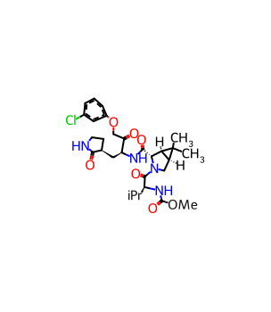 COC(=O)N[C@H](C(=O)N1C[C@H]2[C@@H]([C@H]1C(=O)N[C@@H](C[C@@H]1CCNC1=O)C(=O)COc1cccc(Cl)c1)C2(C)C)C(C)C